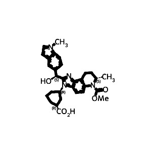 COC(=O)N1c2ccc3c(nc([C@@H](O)c4ccc5c(ccn5C)c4)n3[C@@H]3CCC[C@@H](C(=O)O)C3)c2CC[C@@H]1C